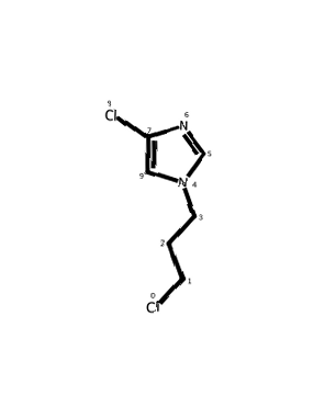 ClCCCn1cnc(Cl)c1